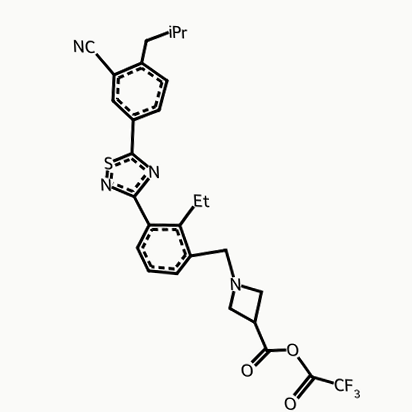 CCc1c(CN2CC(C(=O)OC(=O)C(F)(F)F)C2)cccc1-c1nsc(-c2ccc(CC(C)C)c(C#N)c2)n1